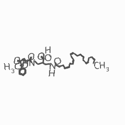 CC/C=C\C/C=C\C/C=C\C/C=C\C/C=C\C/C=C\CCC(=O)NCCC(CCNC(=O)C1=CC(=O)C(C)(c2ccccc2)O1)C(=O)O